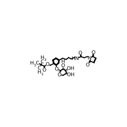 CC(C)(C)C(=O)OCc1ccc(CCCCCNC(=O)CCN2C(=O)C=CC2=O)cc1O[C@@H]1OC[C@@H](O)[C@H](O)[C@H]1O